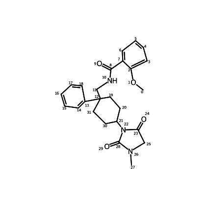 COc1ccccc1C(=O)NCC1(c2ccccc2)CCC(N2C(=O)CN(C)C2=O)CC1